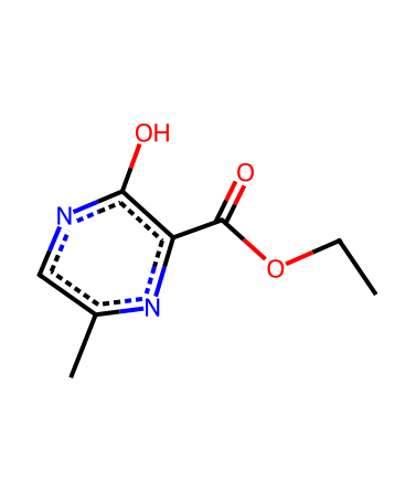 CCOC(=O)c1nc(C)cnc1O